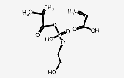 C=C(C)C(=O)OP(=O)(O)OCCO.C=CC(=O)O